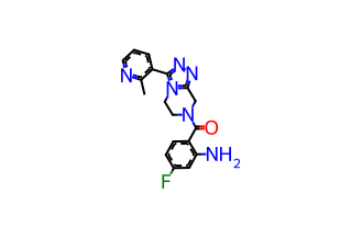 Cc1ncccc1-c1nnc2n1CCN(C(=O)c1ccc(F)cc1N)C2